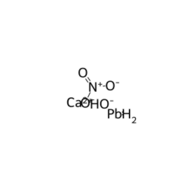 O=[N+]([O-])[O-].[Ca+2].[OH-].[PbH2]